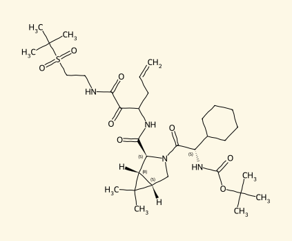 C=CCC(NC(=O)[C@@H]1[C@@H]2[C@H](CN1C(=O)[C@@H](NC(=O)OC(C)(C)C)C1CCCCC1)C2(C)C)C(=O)C(=O)NCCS(=O)(=O)C(C)(C)C